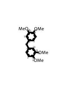 COc1ccc([C]c2ccc(OC)c(OC)c2)cc1OC